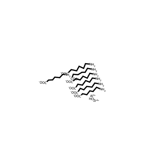 Cl.NCCCCCC(=O)[O-].NCCCCCC(=O)[O-].NCCCCCC(=O)[O-].NCCCCCC(=O)[O-].NCCCCCC(=O)[O-].NCCCCCC(=O)[O-].NCCCCCC(=O)[O-].[Al+3].[Zr+4]